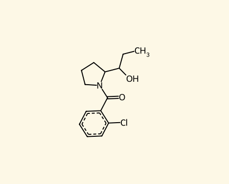 CCC(O)C1CCCN1C(=O)c1ccccc1Cl